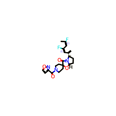 C=C(/C=C(F)\C=C(/C)F)[C@@H]1CC[C@H]2OC3(CCN(C(=O)c4ccon4)CC3)C(=O)N21